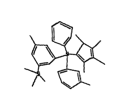 CC1=C(C)C(C)C([Si](c2ccccc2)(c2cccc(C)c2)c2cc(C)cc([Si](C)(C)C)c2)=C1C